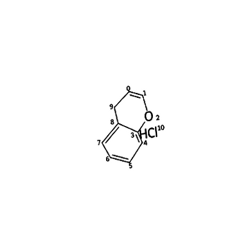 C1=COc2ccccc2C1.Cl